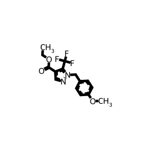 CCOC(=O)c1cnn(Cc2ccc(OC)cc2)c1C(F)(F)F